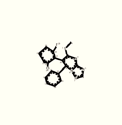 CSc1nc2ncnn2c(-c2ccccc2)c1-c1c(F)cccc1Cl